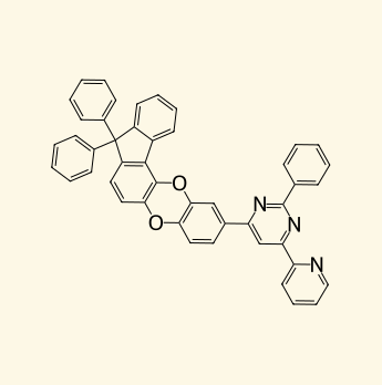 c1ccc(-c2nc(-c3ccc4c(c3)Oc3c(ccc5c3-c3ccccc3C5(c3ccccc3)c3ccccc3)O4)cc(-c3ccccn3)n2)cc1